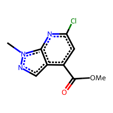 COC(=O)c1cc(Cl)nc2c1cnn2C